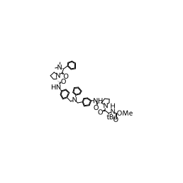 COC(=O)N[C@H](C(=O)N1CCC[C@H]1C(=O)Nc1ccc(CN(Cc2ccc(NC(=O)[C@@H]3CCCN3C(=O)[C@@H](c3ccccc3)N(C)C)cc2)c2ccccc2)cc1)C(C)(C)C